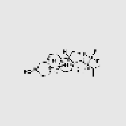 CC(F)[C@@](O)([C@H]1CC[C@H]2[C@@H]3CC=C4C[C@@H](O)CC[C@]4(C)[C@H]3CC[C@@]21C)C(F)(F)F